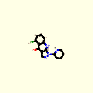 O=c1c2cnn(-c3ccccn3)c2[nH]c2cccc(F)c12